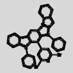 Brc1cc(-c2c3c(cc4c2n(-c2ccccc2)c2cc5ccccc5n42)c2ccccc2n3-c2ccccc2)cc(Br)n1